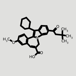 COc1ccc2c(c1)C=C(C(=O)O)Cn1c-2c(C2CCCCC2)c2ccc(C(=O)CC(C)(C)C)cc21